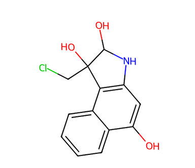 Oc1cc2c(c3ccccc13)C(O)(CCl)C(O)N2